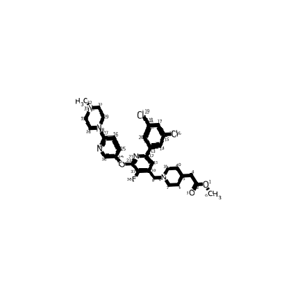 COC(=O)CC1CCN(Cc2cc(-c3cc(Cl)cc(Cl)c3)nc(Oc3ccc(N4CCN(C)CC4)nc3)c2F)CC1